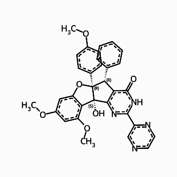 COc1ccc([C@@]23Oc4cc(OC)cc(OC)c4[C@]2(O)c2nc(-c4cnccn4)[nH]c(=O)c2[C@H]3c2ccccc2)cc1